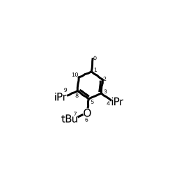 CC1C=C(C(C)C)C(OC(C)(C)C)=C(C(C)C)C1